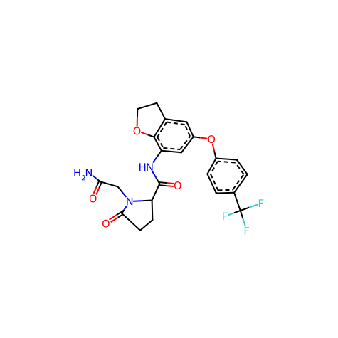 NC(=O)CN1C(=O)CCC1C(=O)Nc1cc(Oc2ccc(C(F)(F)F)cc2)cc2c1OCC2